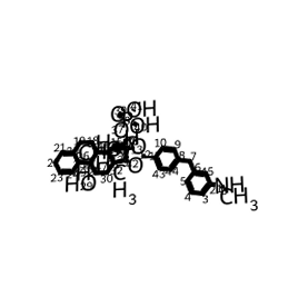 CNc1cccc(Cc2ccc([C@@H]3O[C@@H]4C[C@H]5[C@@H]6CCC7=CCC=C[C@]7(C)[C@H]6[C@@H](O)C[C@]5(C)[C@]4(C(=O)COP(=O)(O)O)O3)cc2)c1